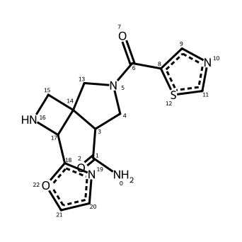 NC(=O)C1CN(C(=O)c2cncs2)CC12CNC2c1ncco1